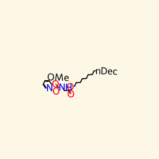 CCCCCCCCCCCCCCCCCCOC(=O)CNC(=O)Oc1ncccc1OC